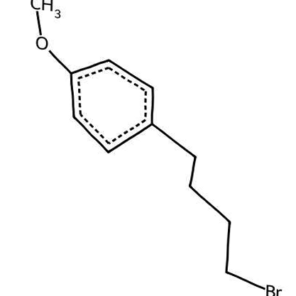 COc1ccc(CCCCBr)cc1